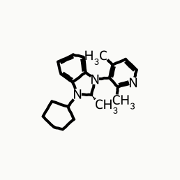 Cc1ccnc(C)c1N1c2ccccc2N(C2CCCCC2)[C@H]1C